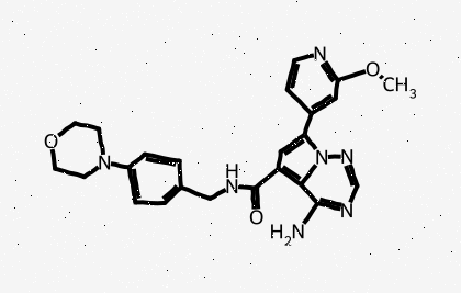 COc1cc(-c2cc(C(=O)NCc3ccc(N4CCOCC4)cc3)c3c(N)ncnn23)ccn1